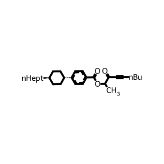 CCCCC#CC(=O)C(C)OC(=O)c1ccc([C@H]2CC[C@H](CCCCCCC)CC2)cc1